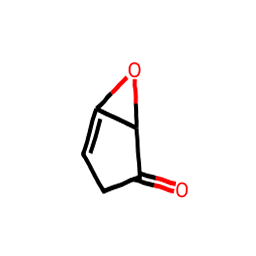 O=C1CC=C2OC12